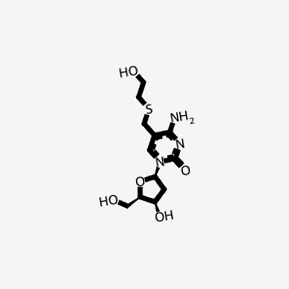 Nc1nc(=O)n([C@H]2C[C@@H](O)[C@@H](CO)O2)cc1CSCCO